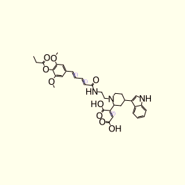 CCC(=O)Oc1c(OC)cc(/C=C/C=C/C(=O)NCCN2CCC(c3c[nH]c4ccccc34)CC2/C(=C/C(=O)O)C(=O)O)cc1OC